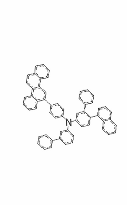 c1ccc(-c2cccc(N(c3ccc(-c4cc5c6ccccc6ccc5c5ccccc45)cc3)c3ccc(-c4cccc5ccccc45)c(-c4ccccc4)c3)c2)cc1